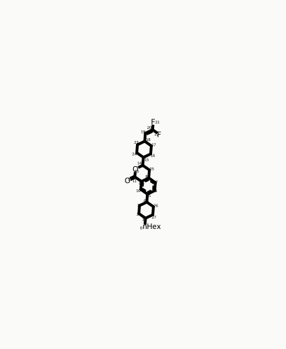 CCCCCCC1CCC(c2ccc3c(c2)C(=O)OC(C2CCC(C=C(F)F)CC2)C3)CC1